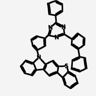 c1ccc(-c2cccc(-c3nc(-c4ccccc4)nc(-c4cccc(-n5c6ccccc6c6cc7c(cc65)sc5ccccc57)c4)n3)c2)cc1